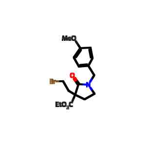 CCOC(=O)C1(CCBr)CCN(Cc2ccc(OC)cc2)C1=O